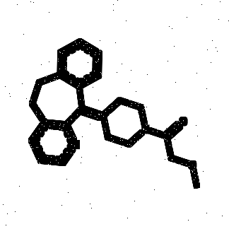 COCC(=O)N1CCC(=C2c3ccccc3CCc3cccnc32)CC1